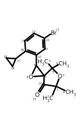 CC1(C)OC(C)(C)C2(OC2c2cc(Br)ccc2C2CC2)C1=O